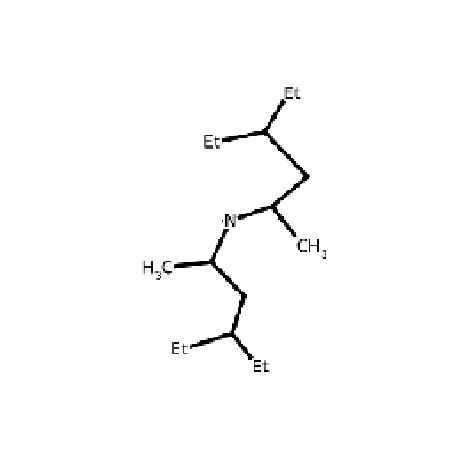 CCC(CC)CC(C)[N]C(C)CC(CC)CC